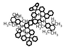 Cc1cc2c(cc1N1c3cc4cc(-c5ccc6c(c5)N5B7c8c(cc9ccccc9c8-c8cccc(c85)C65c6ccccc6-c6ccccc65)N(c5cc6c(cc5C)C(C)(C)CCC6(C)C)c5oc6ccccc6c57)ccc4c4c3B(c3c1oc1ccccc31)N1c3ccccc3C(c3ccccc3)(c3ccccc3)c3cccc-4c31)C(C)(C)CCC2(C)C